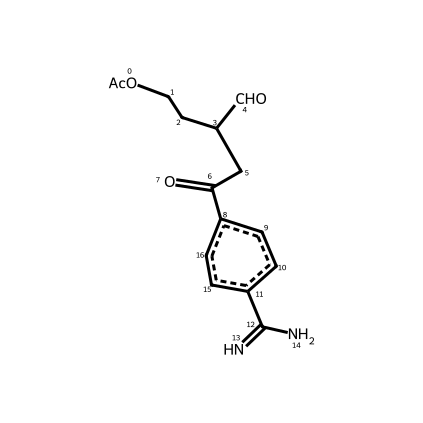 CC(=O)OCCC(C=O)CC(=O)c1ccc(C(=N)N)cc1